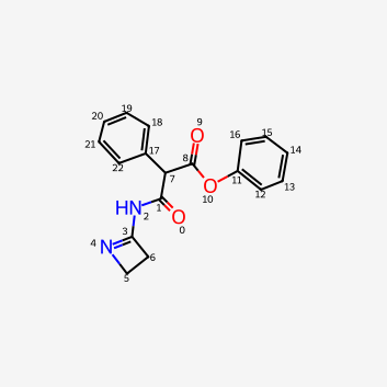 O=C(NC1=NCC1)C(C(=O)Oc1ccccc1)c1ccccc1